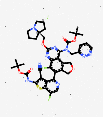 CC(C)(C)OC(=O)Nc1sc2c(F)cnc(-c3c4c(c5c(N(Cc6cccnn6)C(=O)OC(C)(C)C)nc(OC[C@@]67CCCN6C[C@H](F)C7)nc5c3F)COC4)c2c1C#N